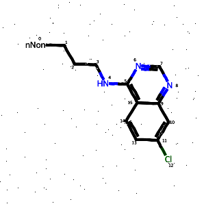 CCCCCCCCCCCCNc1ncnc2cc(Cl)ccc12